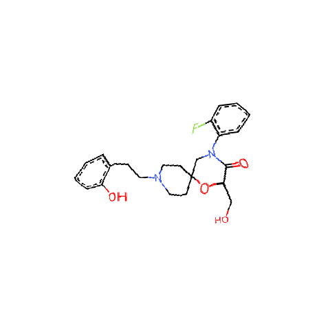 O=C1C(CO)OC2(CCN(CCc3ccccc3O)CC2)CN1c1ccccc1F